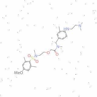 COc1cc(C)c(S(=O)(=O)N(C)CCOCC(=O)N(C)Cc2ccc(NCCN(C)C)c(C)c2)c(C)c1